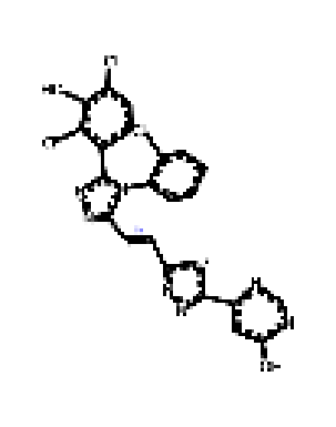 Oc1cc(-c2nnc(/C=C/c3nnc(-c4ccc(Cl)c(O)c4Cl)n3-c3ccccc3Cl)o2)ncn1